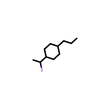 CCCC1CCC(C(C)I)CC1